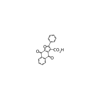 O=C1c2ccccc2C(=O)c2c1oc(-c1ccccc1)c2C(=O)O